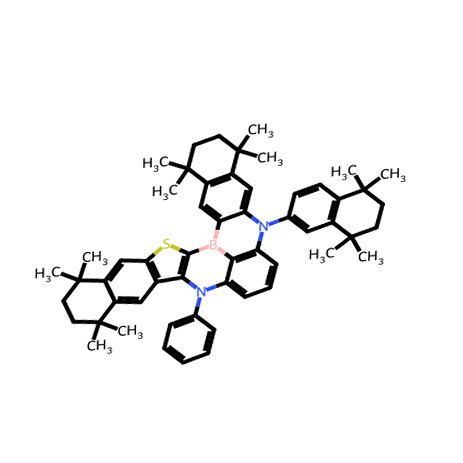 CC1(C)CCC(C)(C)c2cc(N3c4cc5c(cc4B4c6sc7cc8c(cc7c6N(c6ccccc6)c6cccc3c64)C(C)(C)CCC8(C)C)C(C)(C)CCC5(C)C)ccc21